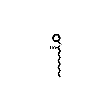 CCCCCCCCCC(O)Oc1ccccc1